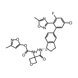 Cc1cc(OC(=O)NC2(C(=O)N[C@H]3CCc4cc(-c5cc(Cl)cc(F)c5-c5noc(C)n5)ccc43)COC2)on1